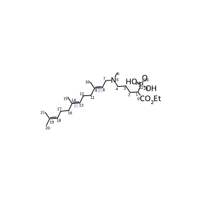 CCOC(=O)C(CCCN(C)C/C=C(\C)CC/C=C(\C)CCC=C(C)C)P(=O)(O)O